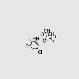 CC(C)(C)OC(=O)Nc1cc(Cl)cc(F)c1I